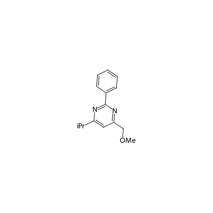 COCc1cc(C(C)C)nc(-c2ccccc2)n1